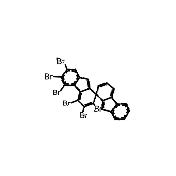 BrC1=C2C(=Cc3cc(Br)c(Br)c(Br)c32)C2(C=CC=C3C2=Cc2ccccc23)C(Br)=C1Br